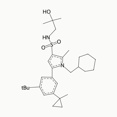 Cc1c(S(=O)(=O)NCC(C)(C)O)cc(-c2cc(C(C)(C)C)cc(C3(C)CC3)c2)n1CC1CCCCC1